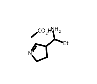 CC(=O)O.CCC(N)C1C=NCC1